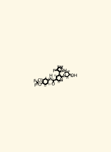 O=C(Nc1ccc(OC(F)(F)Cl)cc1)c1cnc(N2CC[C@H](O)C2)c(-c2[nH]ncc2F)c1